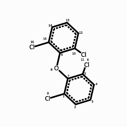 Clc1cccc(Cl)c1Oc1c(Cl)cccc1Cl